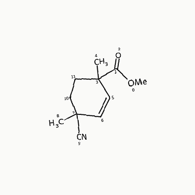 COC(=O)C1(C)C=CC(C)(C#N)CC1